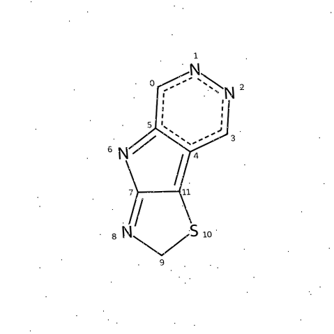 c1nncc2c1=NC1=NCSC=21